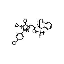 O=C(Cn1nc(-c2ccc(Cl)cc2)n(C2CC2)c1=O)NC(c1ccccc1Cl)C(F)(F)F